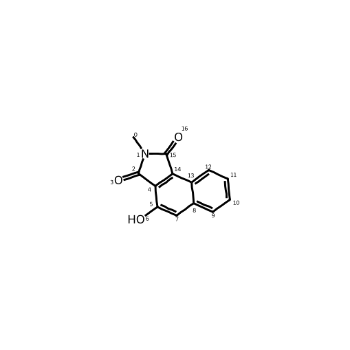 CN1C(=O)c2c(O)cc3ccccc3c2C1=O